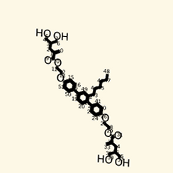 C=C(CC(CO)CO)C(=O)OCCOc1ccc(-c2ccc(-c3ccc(OCCOC(=O)C(=C)CC(CO)CO)cc3)c(CCCCCC)c2)cc1